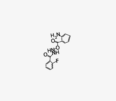 Nc1ccccc1C(=O)ONNC(=O)c1ccccc1F